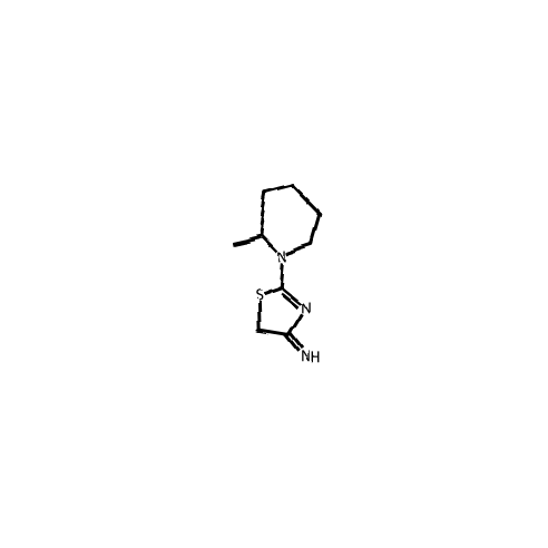 CC1CCCCN1C1=NC(=N)CS1